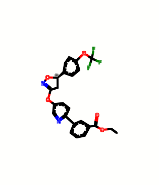 CCOC(=O)c1cccc(-c2ccc(OC3=NO[C@@H](c4ccc(OC(F)(F)F)cc4)C3)cn2)c1